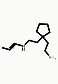 C/C=C/NCCC1(CCN)CCCC1